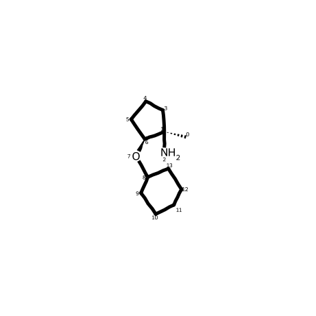 C[C@@]1(N)CCC[C@@H]1OC1CCCCC1